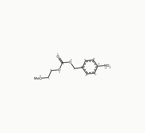 COCCOC(=O)OCc1ccc([N+](=O)[O-])cc1